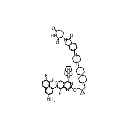 Nc1cc(-c2ncc3c(N4CC5CCC(C4)N5)nc(OCC4(CN5CCC6(CCC(N7CCN(c8ccc9c(c8)CN([C@H]8CCC(=O)NC8=O)C9=O)CC7)CC6)CC5)CC4)nc3c2F)c2c(F)c(F)ccc2c1